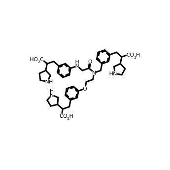 O=C(O)C(Cc1cccc(CN(CCOc2cccc(CC(C(=O)O)C3CCNC3)c2)C(=O)CNc2cccc(CC(C(=O)O)C3CCNC3)c2)c1)C1CCNC1